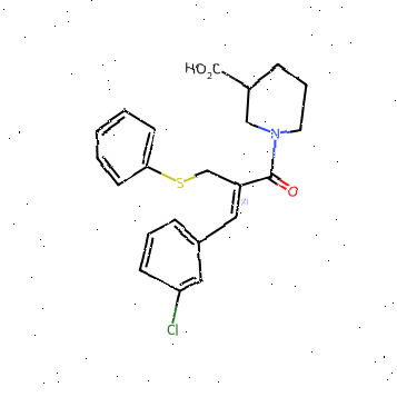 O=C(O)C1CCCN(C(=O)/C(=C/c2cccc(Cl)c2)CSc2ccccc2)C1